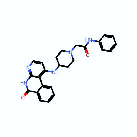 O=C(CN1CCC(Nc2ccnc3[nH]c(=O)c4ccccc4c23)CC1)Nc1ccccc1